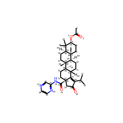 CC(=O)O[C@H]1CC[C@]2(C)[C@H]3CC[C@@H]4C5=C(C(C)C)C(=O)C[C@]5(C(=O)Nc5cnccn5)CC[C@@]4(C)[C@]3(C)CC[C@H]2C1(C)C